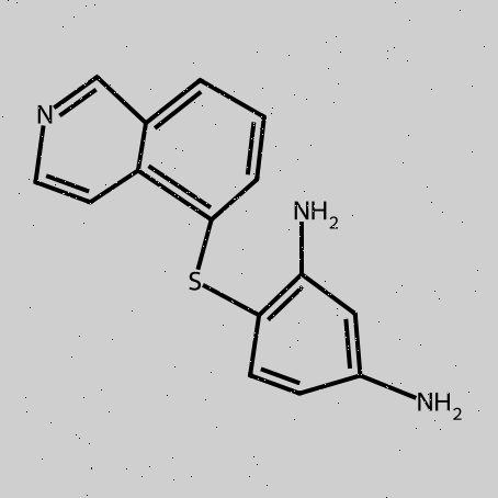 Nc1ccc(Sc2cccc3cnccc23)c(N)c1